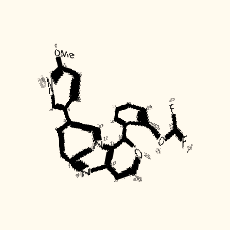 COc1ccc(-c2ccc3nc4c(n3c2)C(c2ccccc2OC(F)F)OCC4)cn1